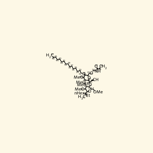 C#CC(CC)(OC1C(COC)OC(C(C)(CC)CCCCCC)C(OC)C1OC)C1OC(COCNC(=O)C=C)C(OCCCCCCCCCCCCCCC=C)C(OC)C1OC